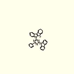 C1=c2sc3c(c2=CCC1)c1ccccc1n3-c1nc(-c2ccccc2)nc(-n2c3ccccc3c3ccccc32)n1